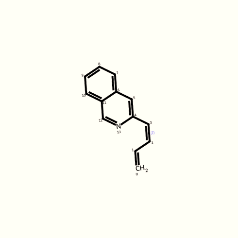 C=C/C=C\c1cc2ccccc2cn1